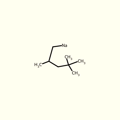 CC([CH2][Na])CC(C)(C)C